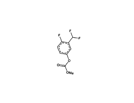 COC(=O)Oc1ccc(F)c(C(F)F)c1